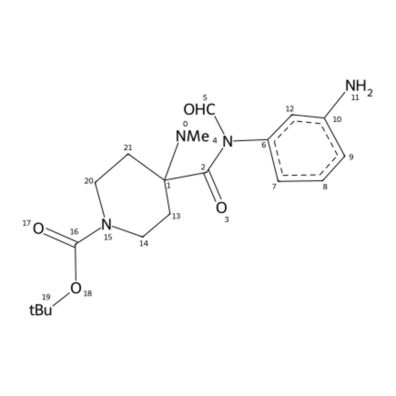 CNC1(C(=O)N(C=O)c2cccc(N)c2)CCN(C(=O)OC(C)(C)C)CC1